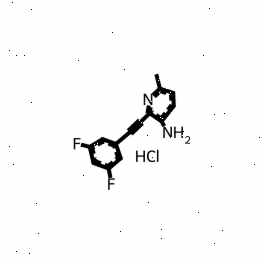 Cc1ccc(N)c(C#Cc2cc(F)cc(F)c2)n1.Cl